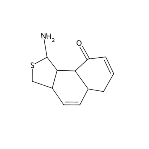 NC1SCC2C=CC3CC=CC(=O)C3C21